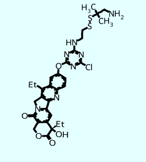 CCc1c2c(nc3ccc(Oc4nc(Cl)nc(NCCSSC(C)(C)CN)n4)cc13)-c1cc3c(c(=O)n1C2)COC(=O)[C@]3(O)CC